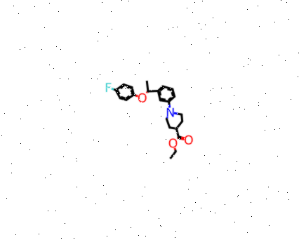 CCOC(=O)C1CCN(c2cccc(C(C)Oc3ccc(F)cc3)c2)CC1